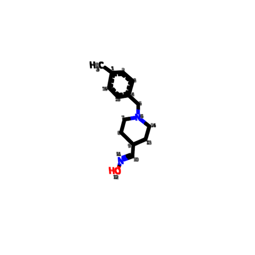 Cc1ccc(CN2CCC(C=NO)CC2)cc1